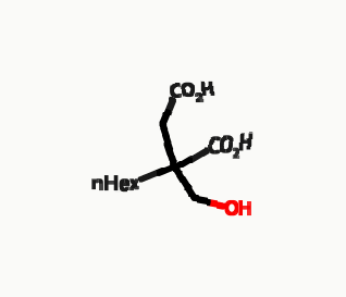 CCCCCCC(CO)(CC(=O)O)C(=O)O